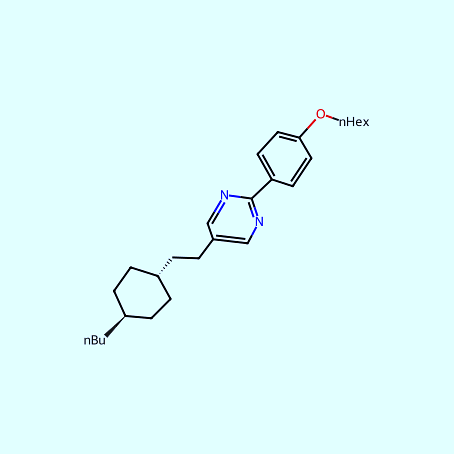 CCCCCCOc1ccc(-c2ncc(CC[C@H]3CC[C@H](CCCC)CC3)cn2)cc1